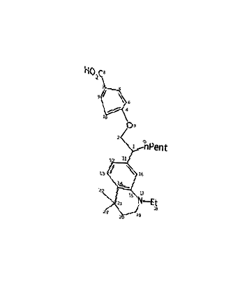 CCCCCC(COc1ccc(C(=O)O)cc1)c1ccc2c(c1)N(CC)CCC2(C)C